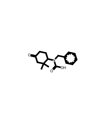 CC1(C)CC(=O)CCC1N(Cc1ccccc1)C(=O)O